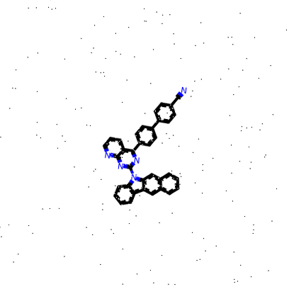 N#Cc1ccc(-c2ccc(-c3nc(-n4c5ccccc5c5cc6ccccc6cc54)nc4ncccc34)cc2)cc1